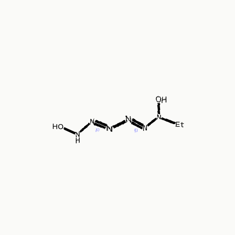 CCN(O)/N=N/N=N/NO